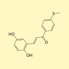 CSc1ccc(C(=O)C=Cc2cc(O)ccc2O)cc1